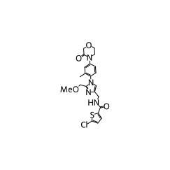 COCc1nc(CNC(=O)c2ccc(Cl)s2)cn1-c1ccc(N2CCOCC2=O)cc1C